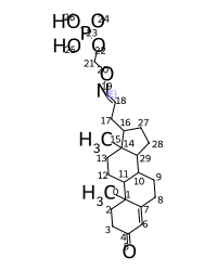 CC12CCC(=O)C=C1CCC1C2CCC2(C)C(C/C=N/OCOP(=O)(O)O)CCC12